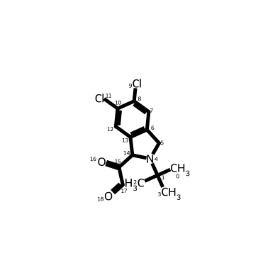 CC(C)(C)N1Cc2cc(Cl)c(Cl)cc2C1C(=O)C=O